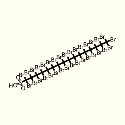 O=S(=O)(O)C(Br)(Br)C(Br)(Br)C(Br)(Br)C(Br)(Br)C(Br)(Br)C(Br)(Br)C(Br)(Br)C(Br)(Br)C(Br)(Br)C(Br)(Br)C(Br)(Br)C(Br)(Br)C(Br)(Br)C(Br)(Br)C(Br)(Br)C(Br)(Br)Br